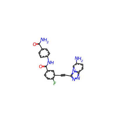 NC(=O)c1ccc(NC(=O)c2ccc(F)c(C#Cc3nnc4ccc(N)cn34)c2)cc1